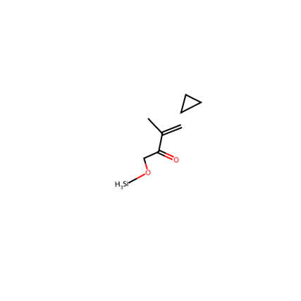 C1CC1.C=C(C)C(=O)CO[SiH3]